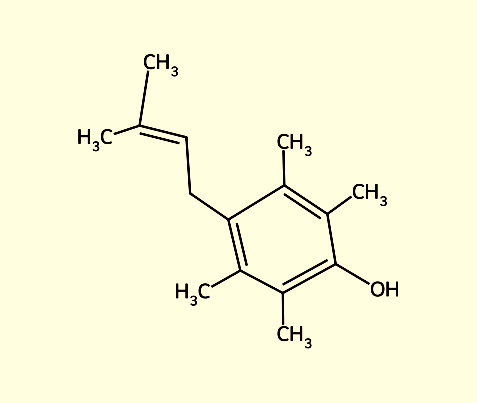 CC(C)=CCc1c(C)c(C)c(O)c(C)c1C